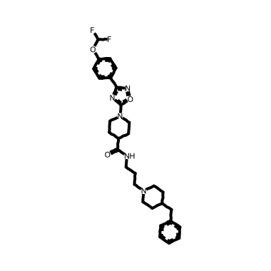 O=C(NCCCN1CCC(Cc2ccccc2)CC1)C1CCN(c2nc(-c3ccc(OC(F)F)cc3)no2)CC1